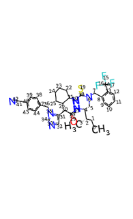 CC[C@H](C)[C@@H](CN(Cc1ccccc1C(F)(F)F)C(=S)NC1CCCCC1)NC(=O)Cc1cncn1Cc1ccc(C#N)cc1